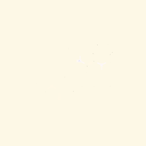 CCNC(=O)C(c1ccc(C(=O)OCC)cc1)c1ccccc1N1CC2CCC(CC2)C1